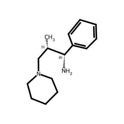 C[C@@H](CN1CCCCC1)[C@@H](N)c1ccccc1